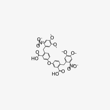 COc1cc(Cc2ccc(Oc3ccc(Cc4cc(OC)c(OC)cc4[N+](=O)[O-])c(C(=O)O)c3)cc2C(=O)O)c([N+](=O)[O-])cc1OC